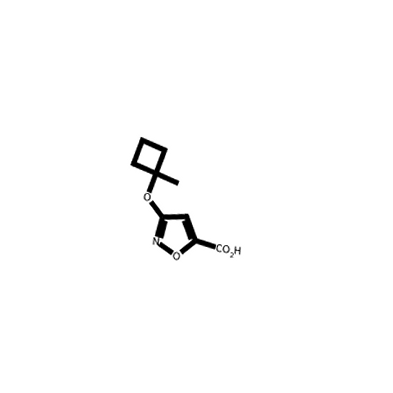 CC1(Oc2cc(C(=O)O)on2)CCC1